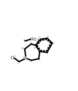 CS(=O)(=O)O.ClCN1CCc2ccccc2CC1